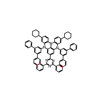 c1ccc(-c2cc(-c3ccccc3)cc(N3c4cc(C5CCCCC5)ccc4B4c5ccc(C6CCCCC6)cc5N(c5cc(-c6ccccc6)cc(-c6ccccc6)c5)c5cc(-c6nc(-c7ccccc7)nc(-c7ccccc7)n6)cc3c54)c2)cc1